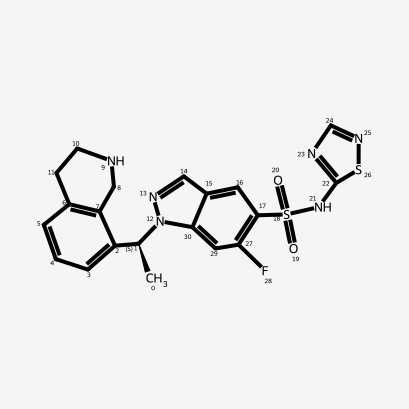 C[C@@H](c1cccc2c1CNCC2)n1ncc2cc(S(=O)(=O)Nc3ncns3)c(F)cc21